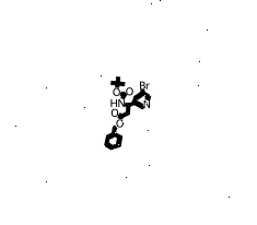 CC(C)(C)OC(=O)NC(CC(=O)OCc1ccccc1)c1cncc(Br)c1